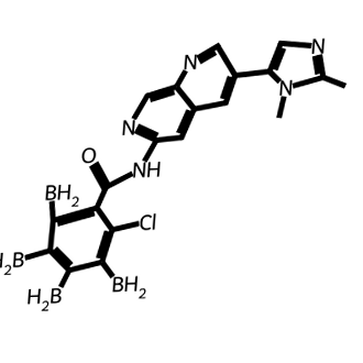 Bc1c(B)c(B)c(C(=O)Nc2cc3cc(-c4cnc(C)n4C)cnc3cn2)c(Cl)c1B